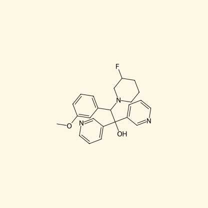 COc1cccc(C(N2CCCC(F)C2)C(O)(c2cccnc2)c2cccnc2)c1